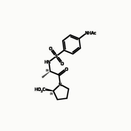 CC(=O)Nc1ccc(S(=O)(=O)N[C@@H](C)C(=O)N2CCC[C@H]2C(=O)O)cc1